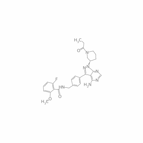 CCC(=O)N1CCC[C@@H](n2nc(-c3ccc(CNC(=O)c4c(F)cccc4OC)cc3)c3c(N)ncnc32)C1